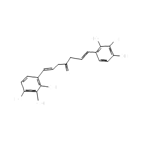 O=C(CC=Cc1ccc(O)c(O)c1O)CC=Cc1ccc(O)c(O)c1O